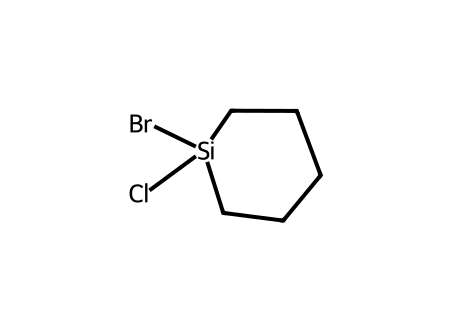 Cl[Si]1(Br)CCCCC1